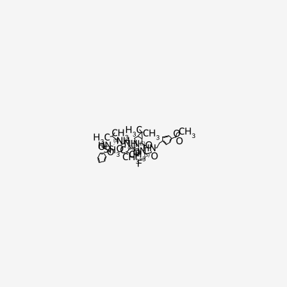 COC(=O)c1ccc(CCNC(=O)[C@H](CC(F)F)NC(=O)[C@@H]2C3C(CN2C(=O)[C@@H](NC(=O)N[C@H](CNS(=O)(=O)c2ccccc2)C(C)C)C(C)(C)C)C3(C)C)cc1